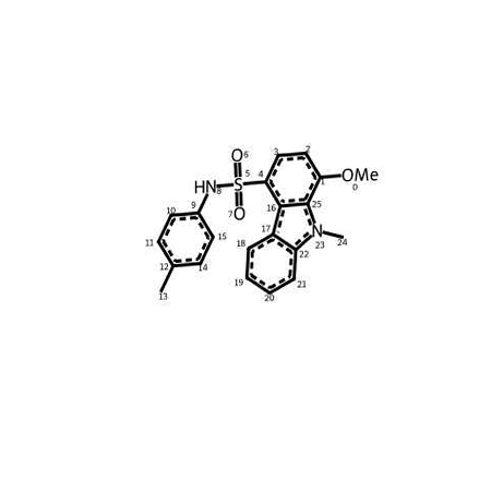 COc1ccc(S(=O)(=O)Nc2ccc(C)cc2)c2c3ccccc3n(C)c12